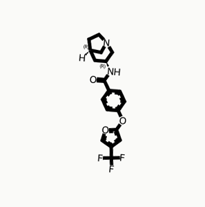 O=C(N[C@@H]1C[C@H]2CCN(C2)C1)c1ccc(Oc2cc(C(F)(F)F)co2)cc1